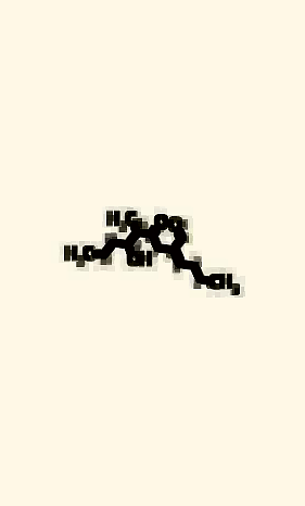 CCCC=C(C=O)CC(=O)C(C)C(O)CCC